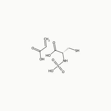 C=CC(=O)O.O=C(O)[C@H](CS)NS(=O)(=O)O